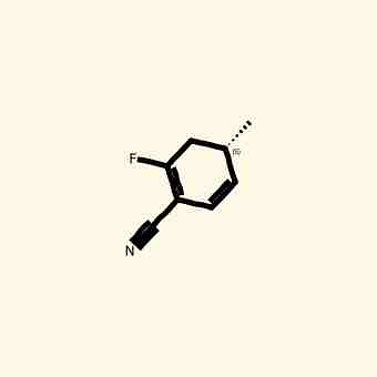 C[C@@H]1C=CC(C#N)=C(F)C1